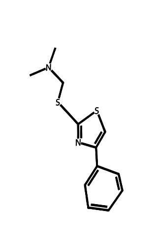 CN(C)CSc1nc(-c2ccccc2)cs1